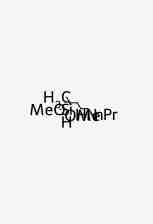 CCCNCCCC(C)[SiH](OC)OC